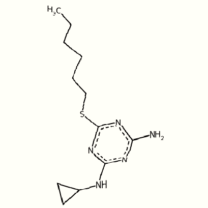 CCCCCCSc1nc(N)nc(NC2CC2)n1